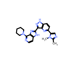 Cc1ncc(-c2ccc3[nH]nc(-c4nc5c(N6CCCCC6)nccc5[nH]4)c3n2)n1C